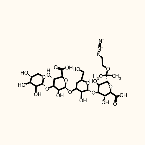 CC(C)(OCCN=[N+]=[N-])[C@@H]1OC(C(=O)O)[C@@H](O)C(O[C@H]2OC(CO)CC(O[C@@H]3OC(C(=O)O)[C@@H](O)C(O[C@H]4OC[C@@H](O)C(O)C4O)C3O)C2O)C1O